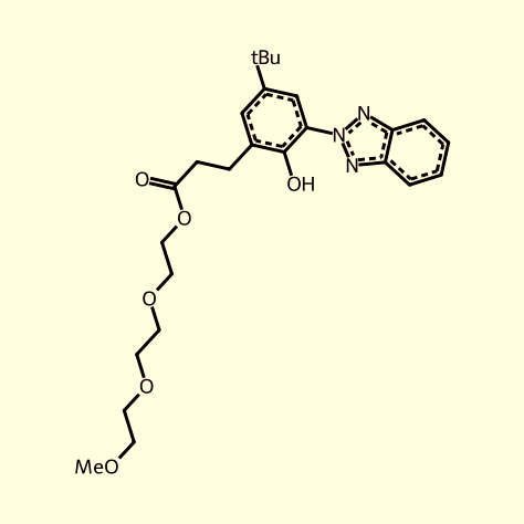 COCCOCCOCCOC(=O)CCc1cc(C(C)(C)C)cc(-n2nc3ccccc3n2)c1O